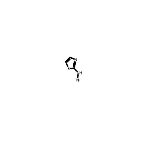 [N]Nc1nccs1